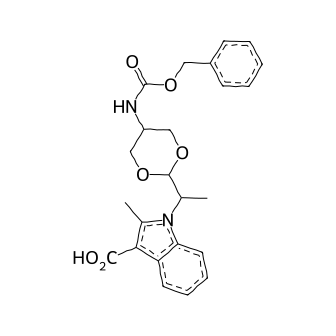 Cc1c(C(=O)O)c2ccccc2n1C(C)C1OCC(NC(=O)OCc2ccccc2)CO1